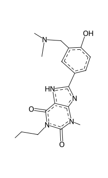 CCCn1c(=O)c2[nH]c(-c3ccc(O)c(CN(C)C)c3)nc2n(C)c1=O